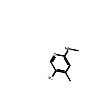 CBc1cc(I)c(C#N)cn1